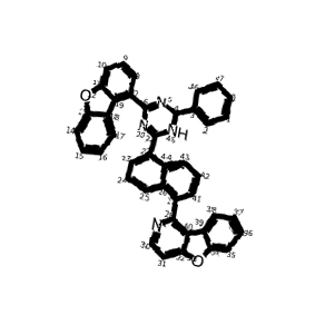 c1ccc(C2N=C(c3cccc4oc5ccccc5c34)N=C(c3cccc4c(-c5nccc6oc7ccccc7c56)cccc34)N2)cc1